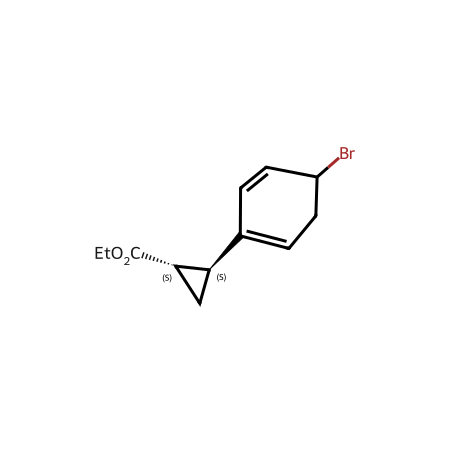 CCOC(=O)[C@H]1C[C@@H]1C1=CCC(Br)C=C1